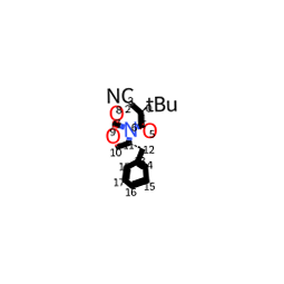 CC(C)(C)[C@@H](CC#N)C(=O)N1C(=O)OC[C@H]1Cc1ccccc1